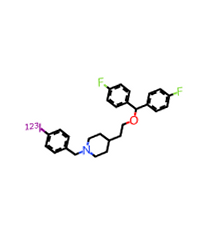 Fc1ccc(C(OCCC2CCN(Cc3ccc([123I])cc3)CC2)c2ccc(F)cc2)cc1